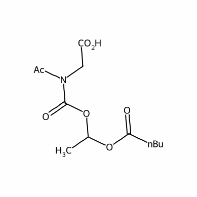 CCCCC(=O)OC(C)OC(=O)N(CC(=O)O)C(C)=O